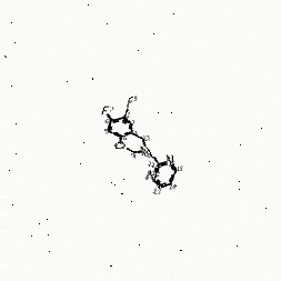 Fc1cc2c(cc1F)OCN(c1ncccn1)C2